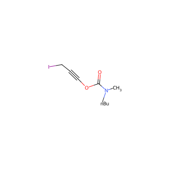 CCCCN(C)C(=O)OC#CCI